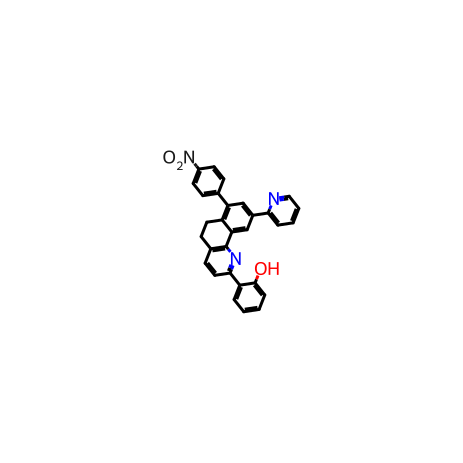 O=[N+]([O-])c1ccc(-c2cc(-c3ccccn3)cc3c2CCc2ccc(-c4ccccc4O)nc2-3)cc1